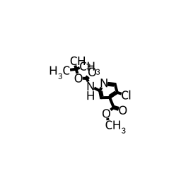 COC(=O)c1cc(NC(=O)OC(C)(C)C)ncc1Cl